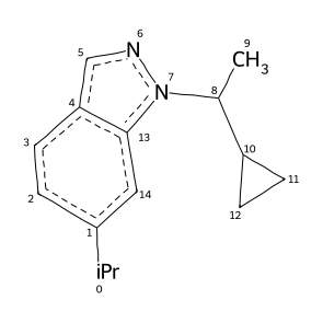 CC(C)c1ccc2cnn(C(C)C3CC3)c2c1